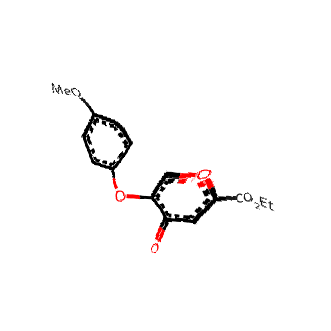 CCOC(=O)c1cc(=O)c(Oc2ccc(OC)cc2)co1